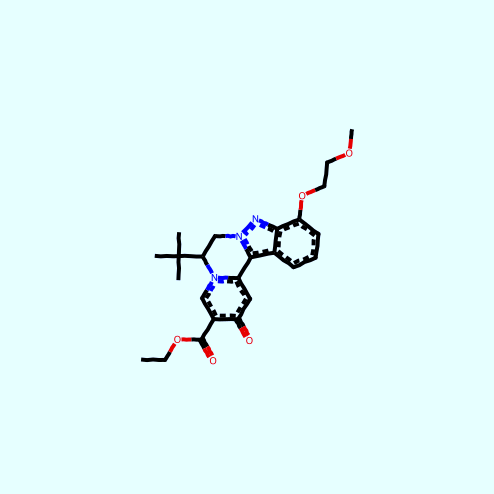 CCOC(=O)c1cn2c(cc1=O)-c1c3cccc(OCCOC)c3nn1CC2C(C)(C)C